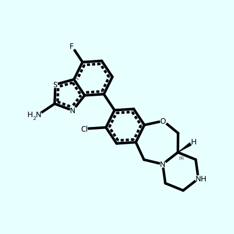 Nc1nc2c(-c3cc4c(cc3Cl)CN3CCNC[C@H]3CO4)ccc(F)c2s1